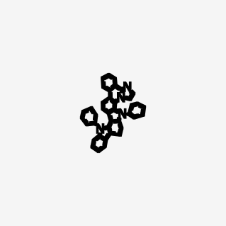 c1ccc(-n2c3ccccc3c3ccc4c(c5ccc6c7ccccc7c7nccn7c6c5n4-c4ccccc4)c32)cc1